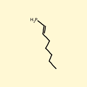 CCCCCC=CP